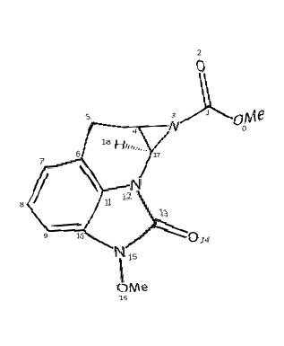 COC(=O)N1C2Cc3cccc4c3n(c(=O)n4OC)[C@@H]21